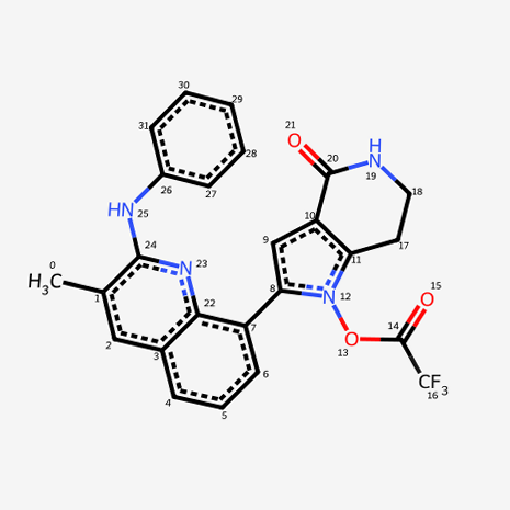 Cc1cc2cccc(-c3cc4c(n3OC(=O)C(F)(F)F)CCNC4=O)c2nc1Nc1ccccc1